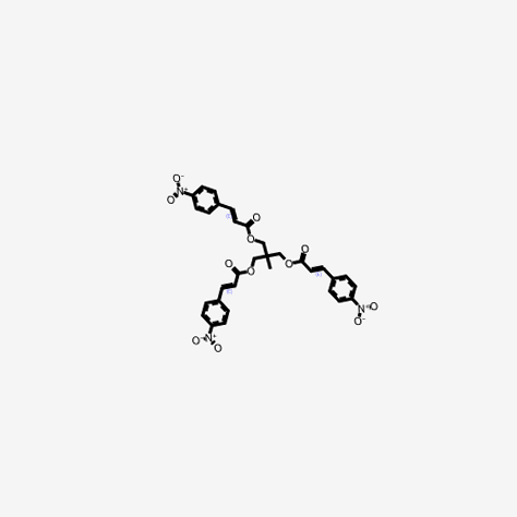 CC(COC(=O)/C=C/c1ccc([N+](=O)[O-])cc1)(COC(=O)/C=C/c1ccc([N+](=O)[O-])cc1)COC(=O)/C=C/c1ccc([N+](=O)[O-])cc1